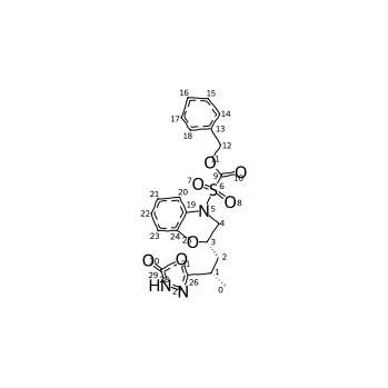 C[C@@H](C[C@H]1CN(S(=O)(=O)C(=O)OCc2ccccc2)c2ccccc2O1)c1n[nH]c(=O)o1